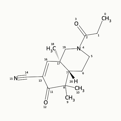 CCC(=O)N1CC[C@@H]2C(C)(C)C(=O)C(C#N)=C[C@@]2(C)C1